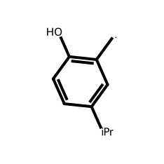 [CH2]c1cc(C(C)C)ccc1O